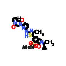 CNS(=O)(=O)c1cc(-c2sc(Nc3cccc(N4CC(=O)N5CCC[C@H]5C4=O)n3)nc2C)cc2c1C(=O)N(C(C)C1CC1)C2